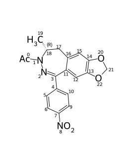 CC(=O)N1N=C(c2ccc([N+](=O)[O-])cc2)c2cc3c(cc2C[C@H]1C)OCO3